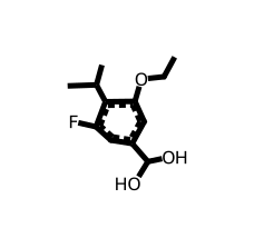 CCOc1cc(C(O)O)cc(F)c1C(C)C